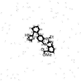 CCNc1nc2cccc(C(=O)OC)c2n1Cc1ccc(-c2ccccc2-c2nnn[nH]2)cc1